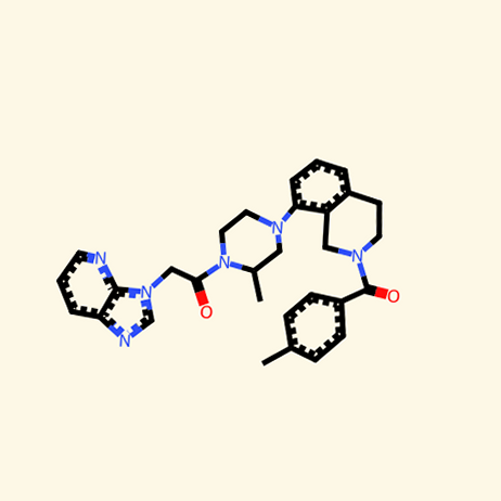 Cc1ccc(C(=O)N2CCc3cccc(N4CCN(C(=O)Cn5cnc6cccnc65)C(C)C4)c3C2)cc1